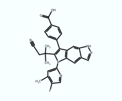 Cc1cc(-n2c(C(C)(C)CC#N)c(-c3ccc(C(=O)O)cc3)c3cc4[nH]ncc4cc32)ncc1F